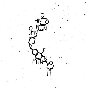 O=C1COc2ncc(N3CC4(CCN(CC5Cc6c(c(F)c7[nH]c(C8CNCCO8)nc7c6F)C5)CC4)OC3=O)nc2N1